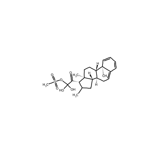 CC1C[C@H]2[C@@H]3CC=C4C=CC=C[C@]4(C)[C@H]3CC[C@]2(C)[C@H]1C(=O)C(O)(O)OS(C)(=O)=O